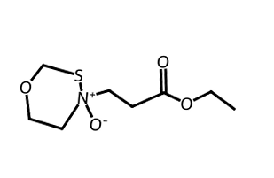 CCOC(=O)CC[N+]1([O-])CCOCS1